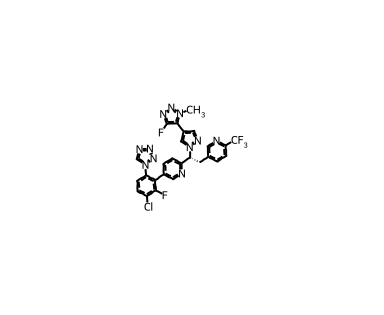 Cn1nnc(F)c1-c1cnn([C@H](Cc2ccc(C(F)(F)F)nc2)c2ccc(-c3c(-n4cnnn4)ccc(Cl)c3F)cn2)c1